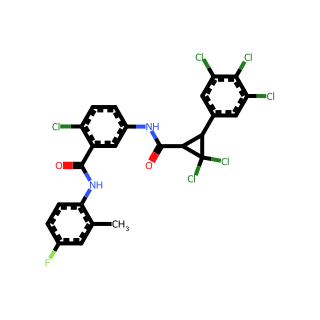 Cc1cc(F)ccc1NC(=O)c1cc(NC(=O)C2C(c3cc(Cl)c(Cl)c(Cl)c3)C2(Cl)Cl)ccc1Cl